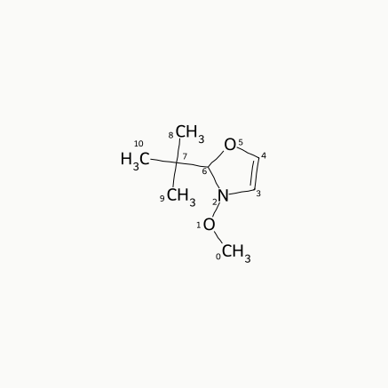 CON1C=COC1C(C)(C)C